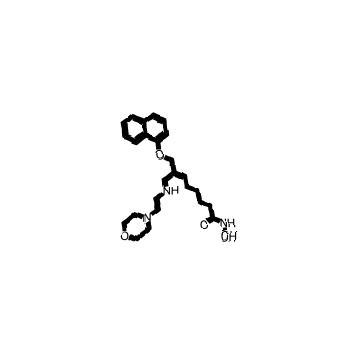 O=C(CCCCC=C(CNCCN1CCOCC1)COc1cccc2ccccc12)NO